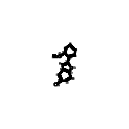 COc1ccccc1-c1nc2cc(Cl)ccc2o1